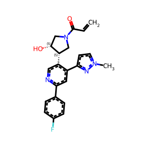 C=CC(=O)N1C[C@@H](O)[C@@H](c2cnc(-c3ccc(F)cc3)cc2-c2ccn(C)n2)C1